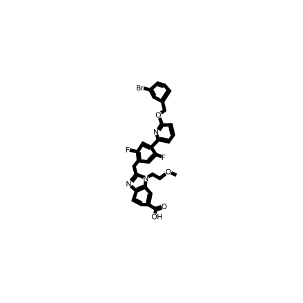 COCCn1c(Cc2cc(F)c(-c3cccc(OCc4cccc(Br)c4)n3)cc2F)nc2ccc(C(=O)O)cc21